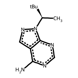 C[C@@H](n1ncc2c(N)ncnc21)C(C)(C)C